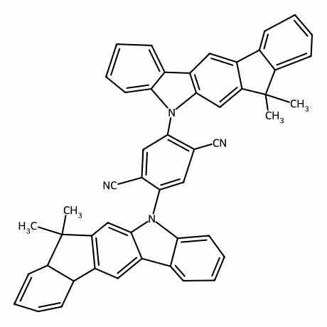 CC1(C)c2ccccc2-c2cc3c4ccccc4n(-c4cc(C#N)c(-n5c6ccccc6c6cc7c(cc65)C(C)(C)C5C=CC=CC75)cc4C#N)c3cc21